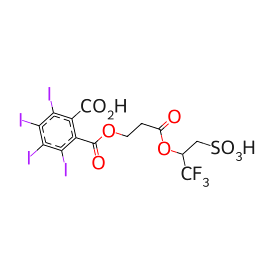 O=C(CCOC(=O)c1c(I)c(I)c(I)c(I)c1C(=O)O)OC(CS(=O)(=O)O)C(F)(F)F